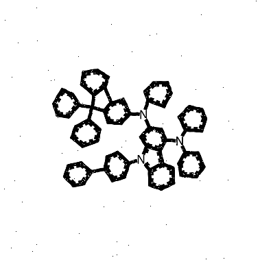 c1ccc(-c2ccc(-n3c4ccccc4c4c(N(c5ccccc5)c5ccccc5)cc(N(c5ccccc5)c5ccc6c(c5)-c5ccccc5C6(c5ccccc5)c5ccccc5)cc43)cc2)cc1